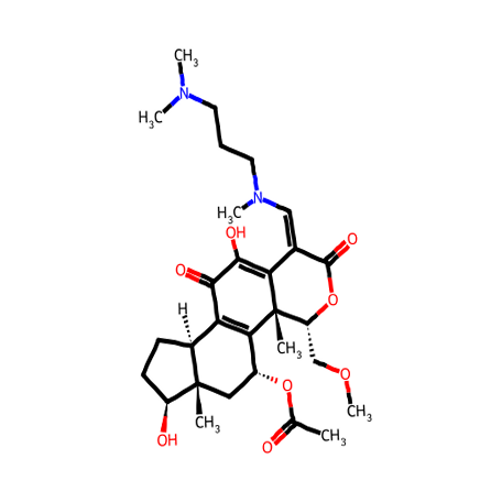 COC[C@H]1OC(=O)/C(=C/N(C)CCCN(C)C)C2=C(O)C(=O)C3=C([C@H](OC(C)=O)C[C@]4(C)[C@@H](O)CC[C@@H]34)[C@]21C